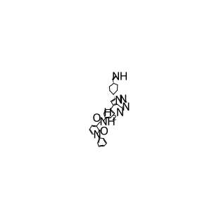 N=C[C@H]1CC[C@H](c2cc(-c3ccc(NC(=O)c4cccn(-c5ccccc5)c4=O)cc3)c3c(N)ncnn32)CC1